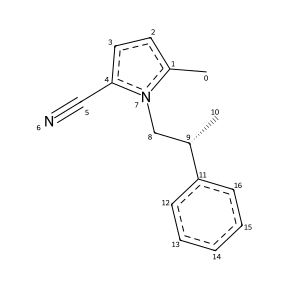 Cc1ccc(C#N)n1C[C@H](C)c1ccccc1